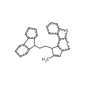 CC1=Cc2ccc3sc4ccccc4c3c2C1CCC1c2ccccc2-c2ccccc21